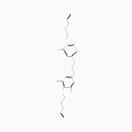 C=CCCCOc1c(Br)cc(CCCc2cc(Br)c(OCCCC=C)c(Br)c2)cc1Br